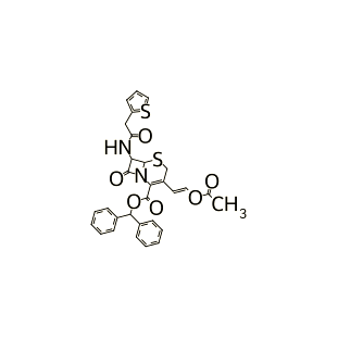 CC(=O)OC=CC1=C(C(=O)OC(c2ccccc2)c2ccccc2)N2C(=O)C(NC(=O)Cc3cccs3)C2SC1